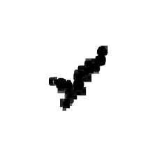 O=C(NCC[C@H](NC(=O)c1ccc(Nc2nc(NC3(c4ccc(Cl)cc4)CC3)nc(OCC(F)(F)F)n2)cc1)C(=O)O)C(=O)Nc1cccc(-n2ccnc2)c1